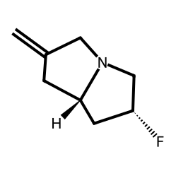 C=C1C[C@H]2C[C@@H](F)CN2C1